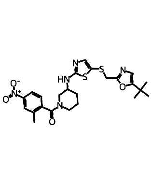 Cc1cc([N+](=O)[O-])ccc1C(=O)N1CCCC(Nc2ncc(SCc3ncc(C(C)(C)C)o3)s2)C1